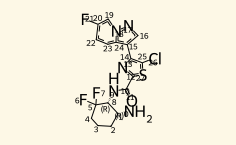 N[C@@H]1CCCC(F)(F)[C@@H]1NC(=O)c1nc(-c2cnn3cc(F)ccc23)c(Cl)s1